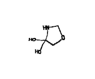 OC1(O)COCN1